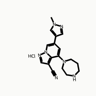 Cl.Cn1cc(-c2cc(N3CCCNCC3)c3c(C#N)cnn3c2)cn1